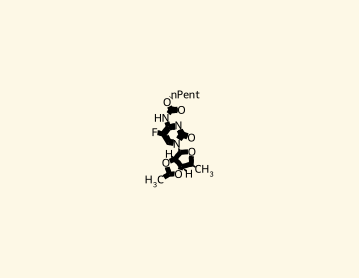 CCCCCOC(=O)Nc1nc(=O)n([C@@H]2O[C@H](C)[C@H]3OC(C)O[C@H]32)cc1F